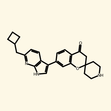 O=C1CC2(CCNCC2)Oc2cc(-c3c[nH]c4nc(CC5CCC5)ccc34)ccc21